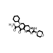 NC(=O)C1C(=O)C2=C(CN3NC(N4CCOCC4)=NC3=N2)CN1C1CCCCC1